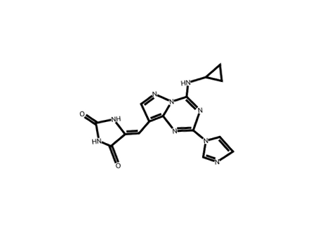 O=C1NC(=O)C(=Cc2cnn3c(NC4CC4)nc(-n4ccnc4)nc23)N1